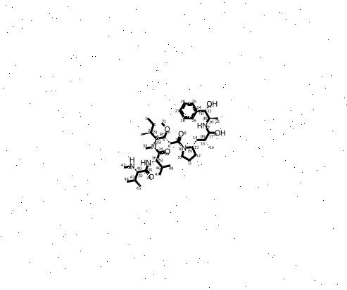 CC[C@H](C)[C@@H]([C@@H](CC(=O)N1CCC[C@H]1C[C@@H](C)C(O)N[C@H](C)[C@@H](O)c1ccccc1)OC)N(C)C(=O)[C@@H](NC(=O)[C@@H](NC)C(C)C)C(C)C